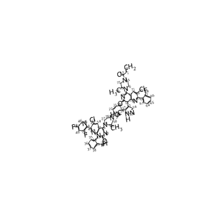 C=CC(=O)N1CCN(C2=NC(=O)C(c3cn[nH]c3C(C)C/C=C\C(=O)N3CCN(c4nc(=O)n(-c5ccccc5C(C)C)c5nc(-c6ncc(F)cc6F)c(Cl)cc45)[C@@H](C)C3)c3nc(-c4ccccc4F)c(Cl)cc32)[C@@H](C)C1